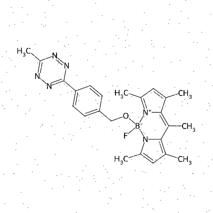 CC1=CC(C)=[N+]2C1=C(C)c1c(C)cc(C)n1[B-]2(F)OCc1ccc(-c2nnc(C)nn2)cc1